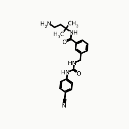 CC(C)(CCN)NC(=O)c1cccc(CNC(=O)Nc2ccc(C#N)cc2)c1